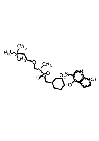 CN(COCC[Si](C)(C)C)S(=O)(=O)C[C@H]1CC[C@H](Oc2c([N+](=O)[O-])cnc3[nH]ccc23)CC1